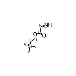 C[Si](C)(C)CCOC(=O)C=N